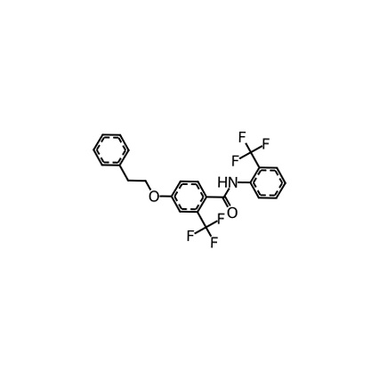 O=C(Nc1ccccc1C(F)(F)F)c1ccc(OCCc2ccccc2)cc1C(F)(F)F